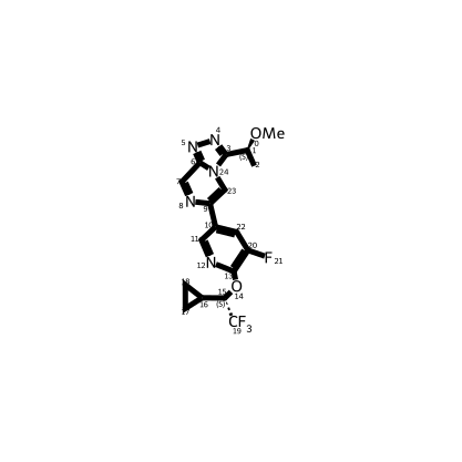 CO[C@@H](C)c1nnc2cnc(-c3cnc(O[C@@H](C4CC4)C(F)(F)F)c(F)c3)cn12